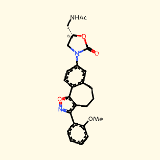 COc1ccccc1-c1noc2c1CCCc1cc(N3C[C@H](CNC(C)=O)OC3=O)ccc1-2